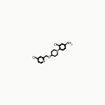 Nc1ccc(N2CCC(OCc3cc(Cl)ccn3)CC2)c(Cl)c1